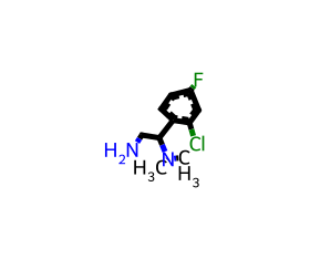 CN(C)C(CN)c1ccc(F)cc1Cl